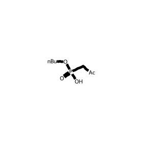 CCCCOP(=O)(O)CC(C)=O